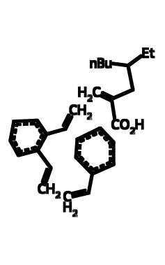 C=C(CC(CC)CCCC)C(=O)O.C=Cc1ccccc1.C=Cc1ccccc1C=C